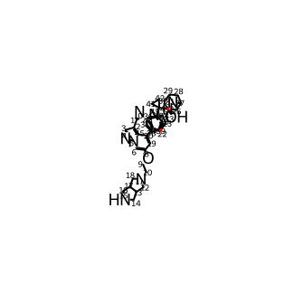 N#Cc1cnn2cc(OCCN3CC4CNCC4C3)cc(-c3ccc(N4CC5CC(C4)N5C(O)C4(c5ccccc5)CC4)nc3)c12